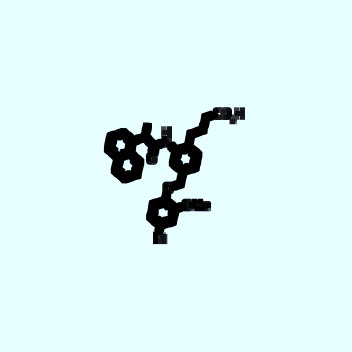 CCc1ccc(OCc2ccc(CCCC(=O)O)c(NC(=O)C(C)c3cccc4ccccc34)c2)c(OC)c1